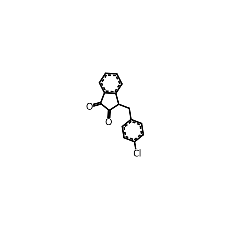 O=C1C(=O)C(Cc2ccc(Cl)cc2)c2ccccc21